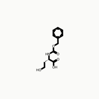 O=C(N[C@@H](CCO)C(=O)O)OCc1ccccc1